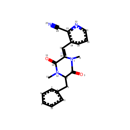 CN1C(=O)C(Cc2ccccc2)N(C)C(=O)/C1=C/c1cccnc1C#N